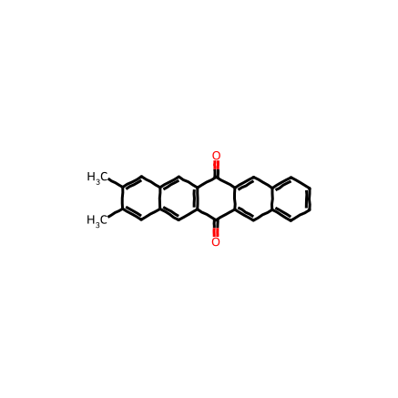 Cc1cc2cc3c(cc2cc1C)C(=O)c1cc2ccccc2cc1C3=O